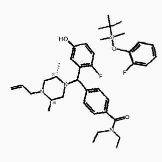 C=CCN1C[C@H](C)N(C(c2ccc(C(=O)N(CC)CC)cc2)c2cc(O)ccc2F)C[C@H]1C.CC(C)(C)[Si](C)(C)Oc1ccccc1F